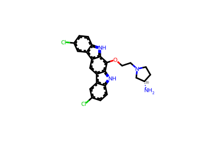 N[C@H]1CCN(CCOc2c3[nH]c4ccc(Cl)cc4c3cc3c2[nH]c2ccc(Cl)cc23)C1